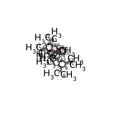 CC1=Cc2c(C(C)C)cc(C(C)C)cc2[CH]1[Zr]([CH3])(=[SiH2])([c]1ccccc1)[CH]1C(C)=Cc2c(C(C)C)cc(C(C)C)cc21